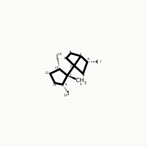 C[C@@]1(C23CCC2[C@H](I)C3)[C@H](I)CC[C@@H]1I